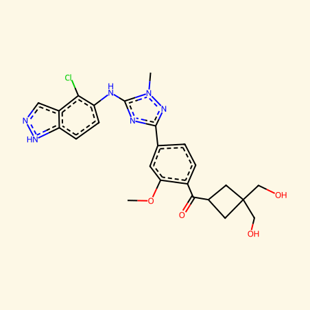 COc1cc(-c2nc(Nc3ccc4[nH]ncc4c3Cl)n(C)n2)ccc1C(=O)C1CC(CO)(CO)C1